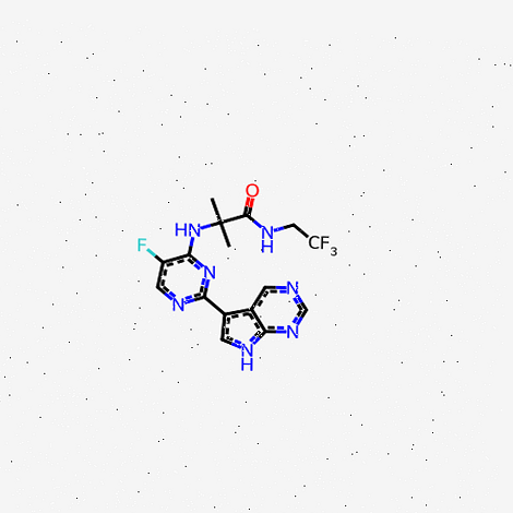 CC(C)(Nc1nc(-c2c[nH]c3ncncc23)ncc1F)C(=O)NCC(F)(F)F